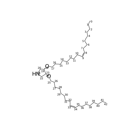 CCCCCCCC/C=C\CCCCCCCCO[C@@H]1CNC[C@H]1OCCCCCCCC/C=C\CCCCCCCC